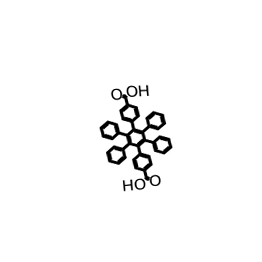 O=C(O)c1ccc(-c2c(-c3ccccc3)c(-c3ccccc3)c(-c3ccc(C(=O)O)cc3)c(-c3ccccc3)c2-c2ccccc2)cc1